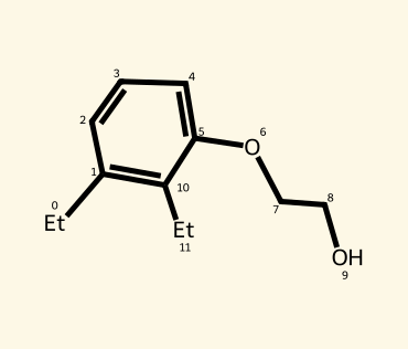 CCc1cccc(OCCO)c1CC